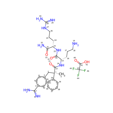 C[C@](Cc1ccc(C(=N)N)cc1)(C(=O)N[C@@H](CCCN)C(=O)N[C@@H](CCCNC(=N)N)C(N)=O)c1ccccc1.O=C(O)C(F)(F)F